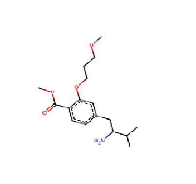 COCCCOc1cc(CC(N)C(C)C)ccc1C(=O)OC